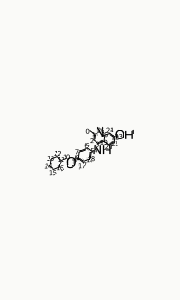 Cc1cc(Nc2ccc(OCC3CCCCC3)cc2)c2ccc(O)cc2n1